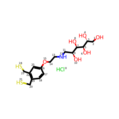 Cl.OC[C@@H](O)[C@@H](O)[C@H](O)[C@@H](O)CNCCOc1ccc(CS)c(CS)c1